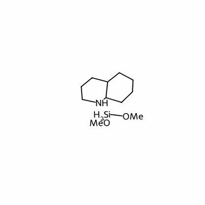 C1CCC2NCCCC2C1.CO[SiH2]OC